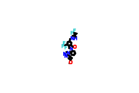 CO[C@H]1C[C@](c2cccc(N3Cc4c(cc(CNCC5(C)CC5(F)F)cc4C(F)(F)F)C3=O)c2)(c2nncn2C)C1